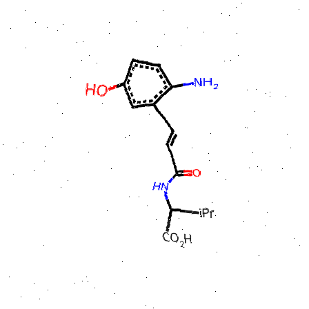 CC(C)C(NC(=O)/C=C/c1cc(O)ccc1N)C(=O)O